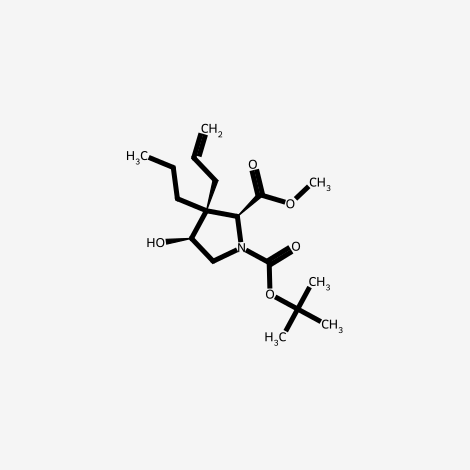 C=CC[C@]1(CCC)[C@H](O)CN(C(=O)OC(C)(C)C)[C@@H]1C(=O)OC